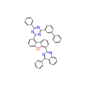 c1ccc(-c2cccc(-c3nc(-c4ccccc4)nc(-c4cccc5oc6c(-c7nc(-c8ccccc8)c8ccccc8n7)cccc6c45)n3)c2)cc1